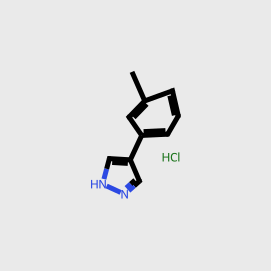 Cc1cccc(-c2cn[nH]c2)c1.Cl